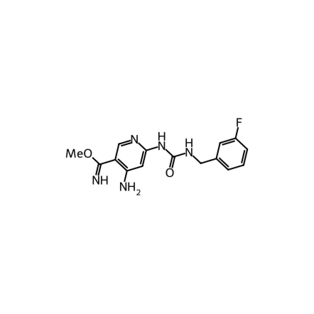 COC(=N)c1cnc(NC(=O)NCc2cccc(F)c2)cc1N